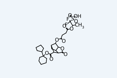 CC(OC(=O)CCC(=O)OC1C2CC3C1OC(=O)C3C2C(=O)OC1(C2CCCC2)CCCCC1)C(F)(F)S(=O)(=O)O